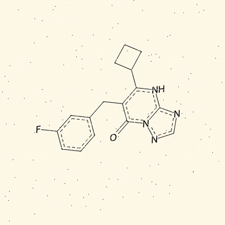 O=c1c(Cc2cccc(F)c2)c(C2CCC2)[nH]c2ncnn12